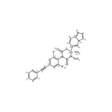 CN1C(=O)N(c2c(F)cc(C#Cc3ccccc3)cc2F)C(=O)C[C@@]1(C)c1ccc2nccn2n1